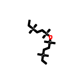 CC[Si](C)(C)CC[Si](C)(C)O[Si](C)(C)CC[Si](C)(C)CC